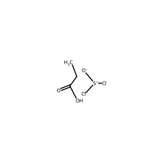 CCC(=O)O.[O-][S+](Cl)Cl